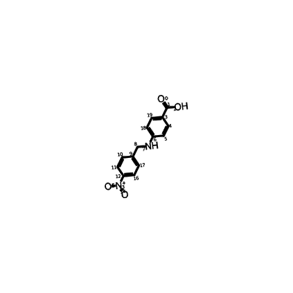 O=C(O)c1ccc(NCc2ccc([N+](=O)[O-])cc2)cc1